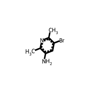 Cc1nc(C)c(Br)cc1N